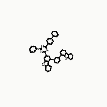 c1ccc(-c2ccc(-c3nc(-c4ccccc4)nc(-c4cc(-c5cccc(-c6cccc7c6sc6ccccc67)c5)c5c(c4)oc4ccccc45)n3)cc2)cc1